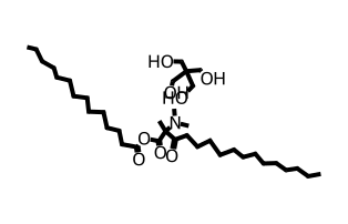 CCCCCCCCCCCCCC(=O)OC(=O)C(C)(C(=O)CCCCCCCCCCCCC)N(C)C.OCC(CO)(CO)CO